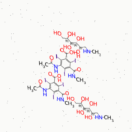 CNC(=O)c1c(I)c(NC(C)=O)c(I)c(C(=O)O)c1I.CNC(=O)c1c(I)c(NC(C)=O)c(I)c(C(=O)O)c1I.CNC[C@H](O)[C@@H](O)[C@H](O)[C@H](O)CO.CNC[C@H](O)[C@@H](O)[C@H](O)[C@H](O)CO